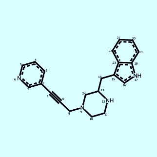 C(#Cc1cccnc1)CN1CCNC(Cc2c[nH]c3ccccc23)C1